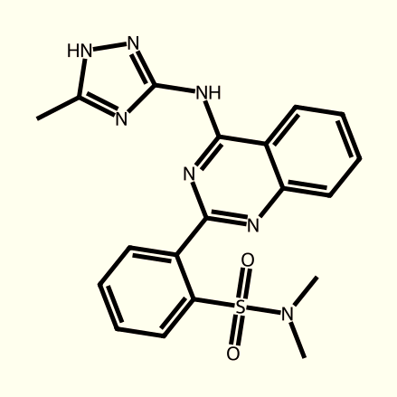 Cc1nc(Nc2nc(-c3ccccc3S(=O)(=O)N(C)C)nc3ccccc23)n[nH]1